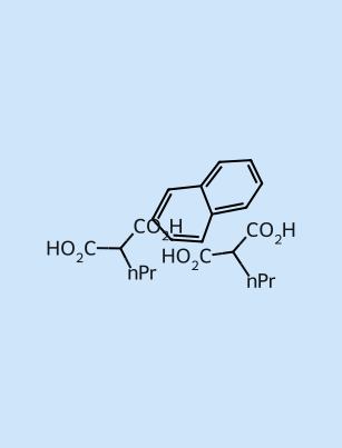 CCCC(C(=O)O)C(=O)O.CCCC(C(=O)O)C(=O)O.c1ccc2ccccc2c1